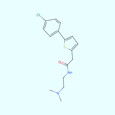 CN(C)CCNC(=O)Cc1ccc(-c2ccc(Cl)cc2)s1